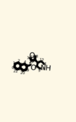 c1ccc2cc(COC3CNCCC3c3ccoc3)ccc2c1